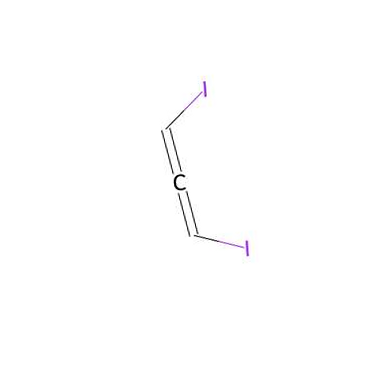 IC=C=CI